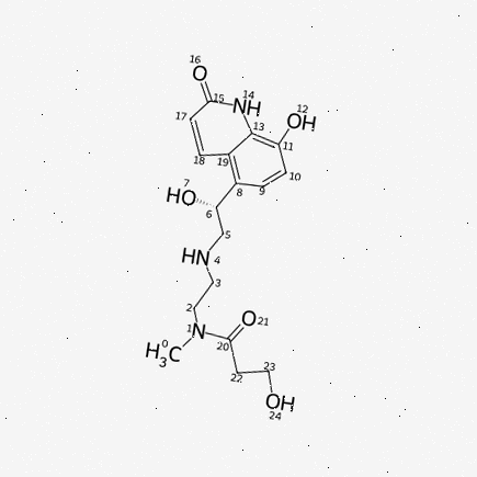 CN(CCNC[C@H](O)c1ccc(O)c2[nH]c(=O)ccc12)C(=O)CCO